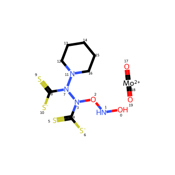 ONON(C(=S)[S-])N(C(=S)[S-])N1CCCCC1.[O]=[Mo+2]=[O]